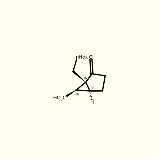 CCCCCCC[C@@]12C(=O)CC[C@H]1[C@H]2C(=O)O